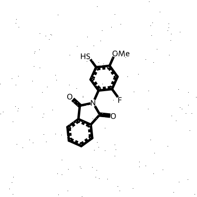 COc1cc(F)c(N2C(=O)c3ccccc3C2=O)cc1S